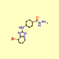 NNC(=O)c1ccc(Nc2nc3c(Br)cccn3n2)cc1